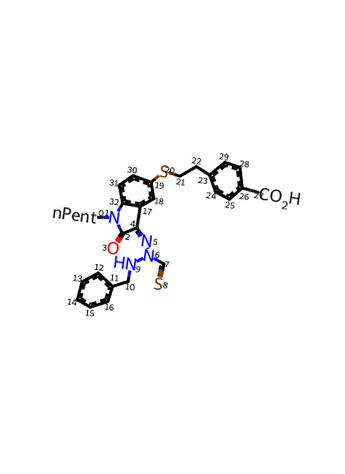 CCCCCN1C(=O)C(=NN(C=S)NCc2ccccc2)c2cc(SCCc3ccc(C(=O)O)cc3)ccc21